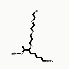 CCCCCCCCCCCCCCCC(OCCCOCCOCCO)C(C)OCCCCCC